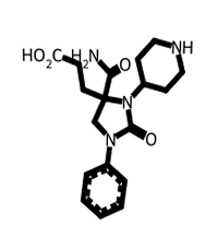 NC(=O)C1(CCC(=O)O)CN(c2ccccc2)C(=O)N1C1CCNCC1